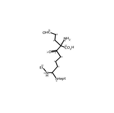 CCCCCCCC(CCCC(=O)C(N)(CCC=O)C(=O)O)NCC